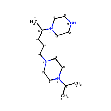 CC(C)N1CCN(CCCC(C)N2CCNCC2)CC1